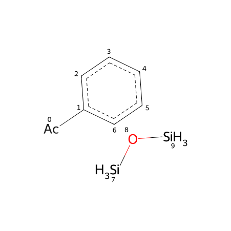 CC(=O)c1ccccc1.[SiH3]O[SiH3]